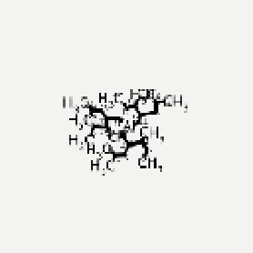 CCC(C)C(CC(C)C)[CH2][Al]([CH2]C(CC(C)C)C(C)CC)[CH2]C(CC(C)C)C(C)CC